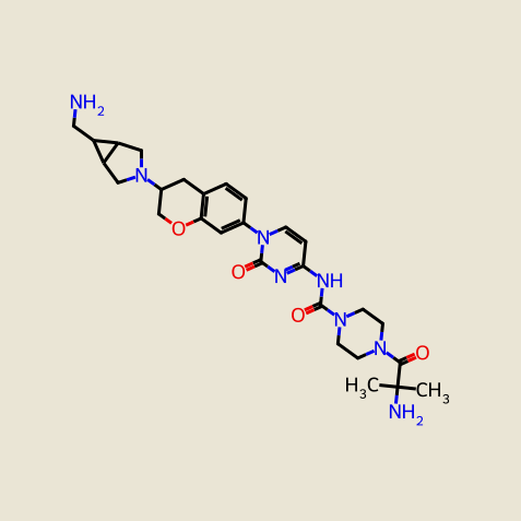 CC(C)(N)C(=O)N1CCN(C(=O)Nc2ccn(-c3ccc4c(c3)OCC(N3CC5C(CN)C5C3)C4)c(=O)n2)CC1